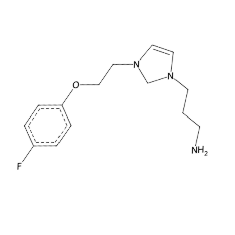 NCCCN1C=CN(CCOc2ccc(F)cc2)C1